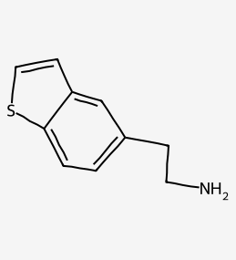 NCCc1ccc2sccc2c1